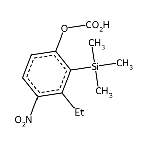 CCc1c([N+](=O)[O-])ccc(OC(=O)O)c1[Si](C)(C)C